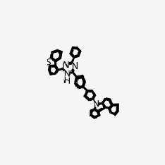 c1ccc(C2=NC(c3cccc4sc5ccccc5c34)NC(c3ccc(-c4ccc(-n5c6ccccc6c6c7ccccc7ccc65)cc4)cc3)=N2)cc1